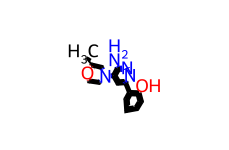 CC[C@H]1CN(c2cc(-c3ccccc3O)nnc2N)CCO1